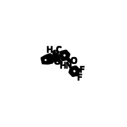 Cc1ccc(C(=O)Nc2ccc(F)c(F)c2)cc1S(=O)(=O)[C@H]1CC2CCC(C1)[C@@]2(C)O